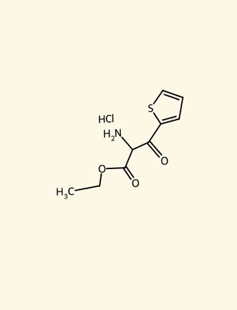 CCOC(=O)C(N)C(=O)c1cccs1.Cl